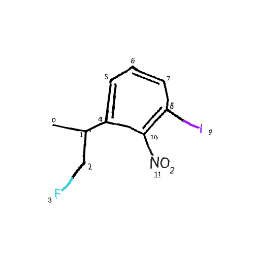 C[C](CF)c1cccc(I)c1[N+](=O)[O-]